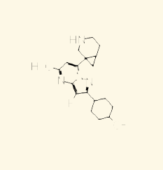 Cc1cc(C23CNCCC2C3)n2nc(C3CCC(C(F)(F)F)CC3)c(F)c2n1